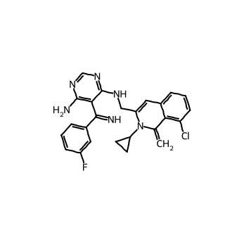 C=C1c2c(Cl)cccc2C=C(CNc2ncnc(N)c2C(=N)c2cccc(F)c2)N1C1CC1